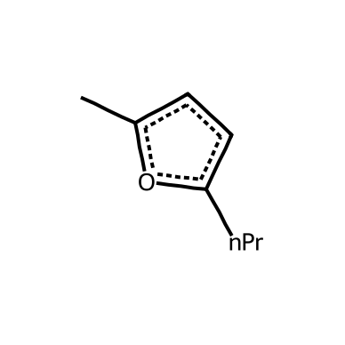 C[CH]Cc1ccc(C)o1